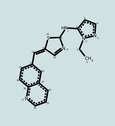 CCn1nccc1NC1N=CC(=Cc2ccc3ncccc3c2)S1